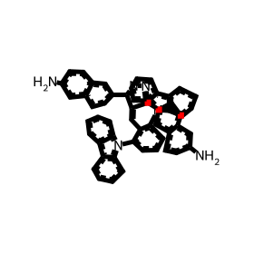 Nc1ccc2cc(C3=NN=C(c4ccc5cc(N)ccc5c4)C3=Cc3c(-n4c5ccccc5c5ccccc54)cccc3-n3c4ccccc4c4ccccc43)ccc2c1